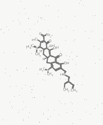 CCC(CC)CNCc1cc(N(C)C)c2c(c1O)C(=O)C1=C(O)[C@]3(O)C(=O)C(C(N)=O)=C(O)C(N(C)C)[C@@H]3C[C@H]1C2